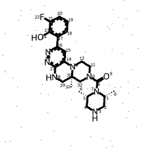 C[C@@H]1CNC[C@H](C)N1C(=O)N1CCN2c3cc(-c4cccc(F)c4O)nnc3NC[C@]2(C)C1